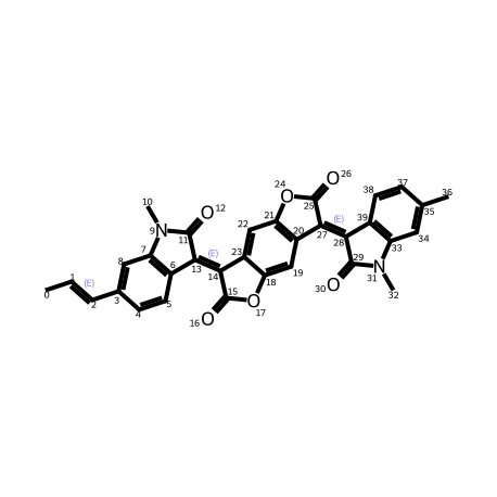 C/C=C/c1ccc2c(c1)N(C)C(=O)/C2=C1/C(=O)Oc2cc3c(cc21)OC(=O)/C3=C1/C(=O)N(C)c2cc(C)ccc21